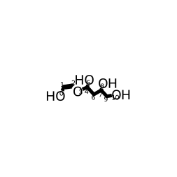 O/C=C\OC(O)CC(O)CO